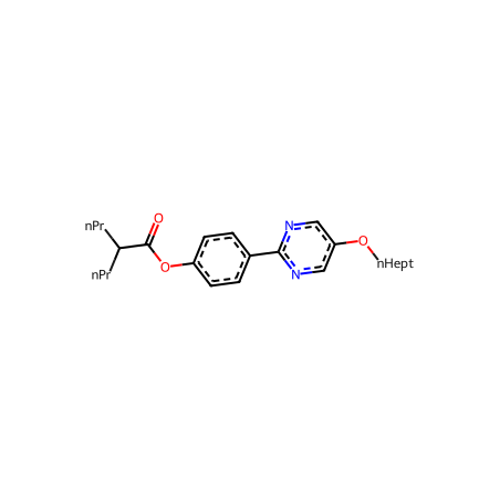 CCCCCCCOc1cnc(-c2ccc(OC(=O)C(CCC)CCC)cc2)nc1